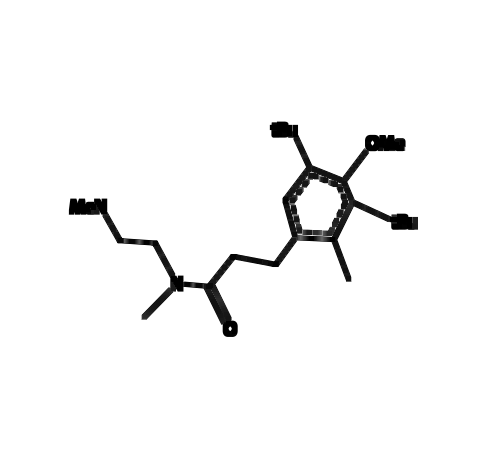 CNCCN(C)C(=O)CCc1cc(C(C)(C)C)c(OC)c(C(C)(C)C)c1C